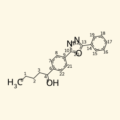 CCCCC(O)c1ccc(-c2nnc(-c3ccccc3)o2)cc1